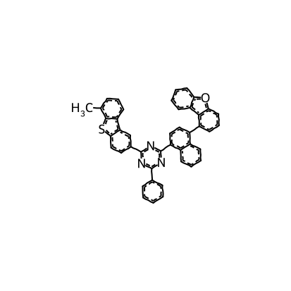 Cc1cccc2c1sc1ccc(-c3nc(-c4ccccc4)nc(-c4ccc(-c5cccc6oc7ccccc7c56)c5ccccc45)n3)cc12